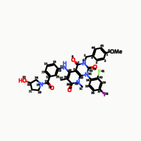 COc1ccc(Cn2c(=O)c3c(Nc4cccc(C(=O)N5CCC(O)C5)c4)c(C)c(=O)n(C)c3n(-c3ccc(I)cc3F)c2=O)cc1